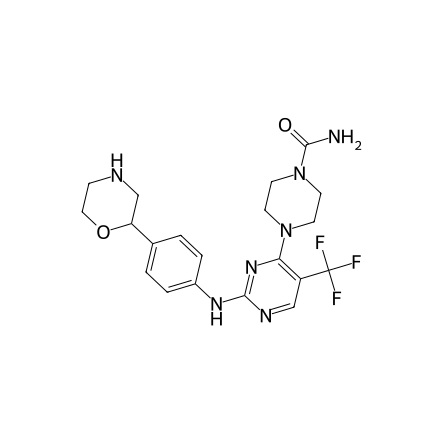 NC(=O)N1CCN(c2nc(Nc3ccc(C4CNCCO4)cc3)ncc2C(F)(F)F)CC1